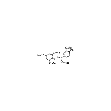 C=CCc1cc(OC)c(OC(C)C(OC(C)(C)C)c2ccc(O)c(OC)c2)c(OC)c1